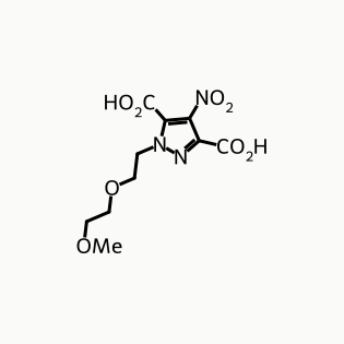 COCCOCCn1nc(C(=O)O)c([N+](=O)[O-])c1C(=O)O